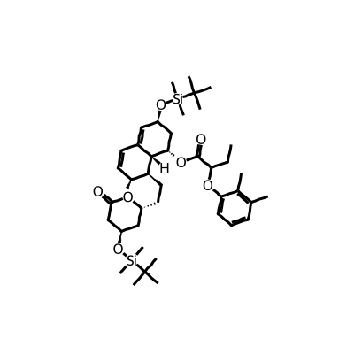 CCC(Oc1cccc(C)c1C)C(=O)O[C@H]1C[C@H](O[Si](C)(C)C(C)(C)C)C=C2C=C[C@H](C)[C@H](CC[C@@H]3C[C@@H](O[Si](C)(C)C(C)(C)C)CC(=O)O3)[C@H]21